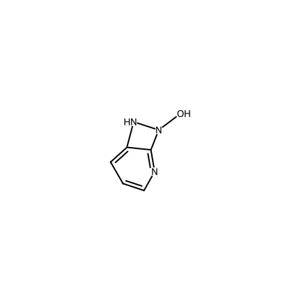 On1[nH]c2cccnc21